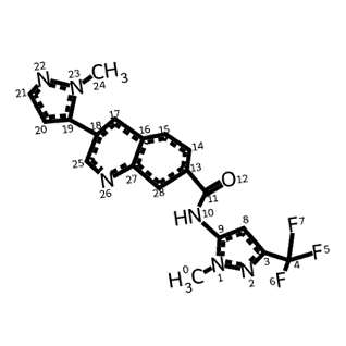 Cn1nc(C(F)(F)F)cc1NC(=O)c1ccc2cc(-c3ccnn3C)cnc2c1